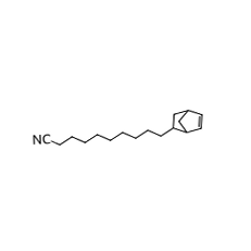 N#CCCCCCCCCCC1CC2C=CC1C2